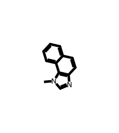 Cn1cnc2ccc3ccccc3c21